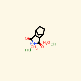 Cl.Cl.O.O.O=C1NC(=O)C2C3CCC(C3)C12